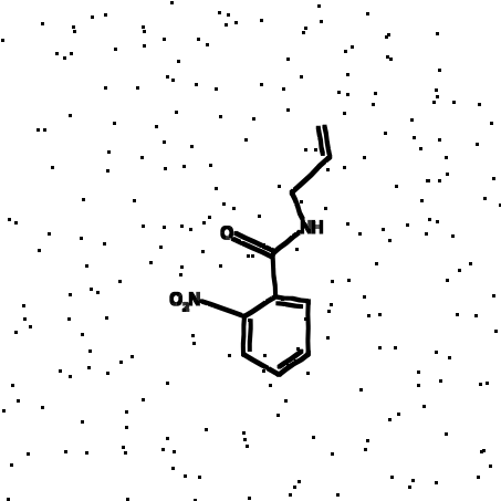 C=CCNC(=O)c1ccccc1[N+](=O)[O-]